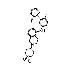 Cc1ccc(Nc2cccc3c2CCN(C2CCS(=O)(=O)CC2)C3)cc1-c1ncccc1F